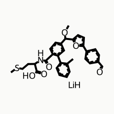 COC(c1ccc(C(=O)NC(CCSC)C(=O)O)c(-c2ccccc2C)c1)c1ccc(-c2ccc(C=O)cc2)o1.[LiH]